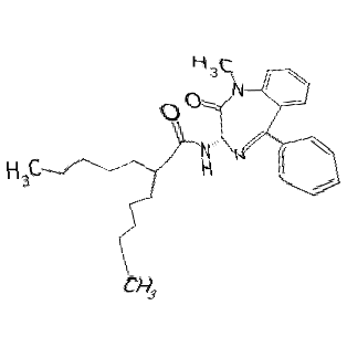 CCCCCC(CCCCC)C(=O)N[C@H]1N=C(c2ccccc2)c2ccccc2N(C)C1=O